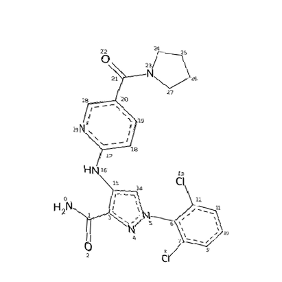 NC(=O)c1nn(-c2c(Cl)cccc2Cl)cc1Nc1ccc(C(=O)N2CCCC2)cn1